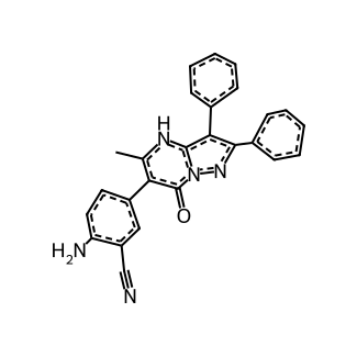 Cc1[nH]c2c(-c3ccccc3)c(-c3ccccc3)nn2c(=O)c1-c1ccc(N)c(C#N)c1